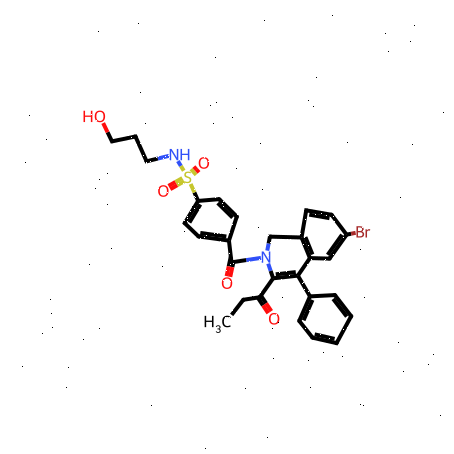 CCC(=O)C1=C(c2ccccc2)c2cc(Br)ccc2CN1C(=O)c1ccc(S(=O)(=O)NCCCO)cc1